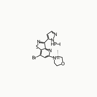 C[C@@H]1COCCN1c1cc(Br)c2snc(-c3ccnn3PI)c2n1